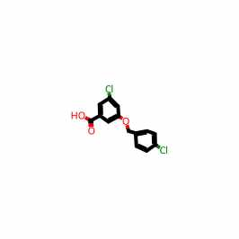 O=C(O)c1cc(Cl)cc(OCc2ccc(Cl)cc2)c1